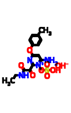 CCNC(=O)C(=O)c1nc(Oc2ccc(C)cc2)cc(N)[n+]1OS(=O)(=O)O.[OH-]